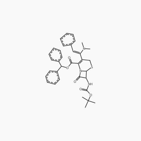 CN(C)C(=Cc1ccccc1)C1=C(C(=O)OC(c2ccccc2)c2ccccc2)N2C(=O)C(NC(=O)OC(C)(C)C)C2SC1